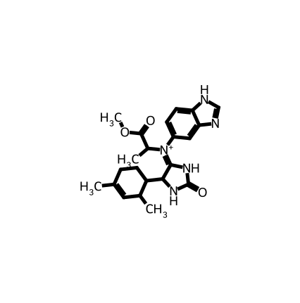 COC(=O)C(C)[N+](=C1NC(=O)NC1C1CCC(C)=CC1C)c1ccc2[nH]cnc2c1